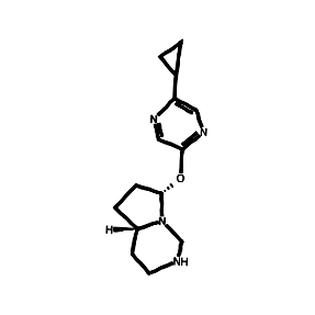 c1nc(C2CC2)cnc1O[C@H]1CC[C@H]2CCNCN21